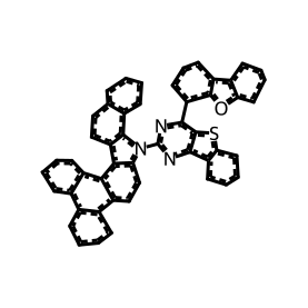 c1ccc2c(c1)ccc1c3c4c5ccccc5c5ccccc5c4ccc3n(-c3nc(-c4cccc5c4oc4ccccc45)c4sc5ccccc5c4n3)c21